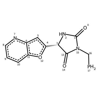 O=C1N[C@@H](c2cc3ncccc3o2)C(=O)N1CP